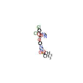 CC(C)CS(=O)(=O)N1CCN(c2ccc(OC[C@@H]3CO[C@@](Cn4ccnc4)(c4ccc(Cl)cc4Cl)O3)cc2)CC1